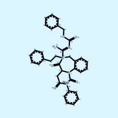 CNC(=O)N1c2ccccc2C[N+](CCc2ccccc2)(C(N)=NC(=O)OCc2ccccc2)C(=O)C1CC(=O)Oc1ccccc1